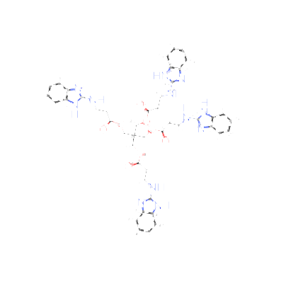 O=C(CCNc1nc2ccccc2[nH]1)OCC(COC(=O)CCNc1nc2ccccc2[nH]1)(COC(=O)CCNc1nc2ccccc2[nH]1)COC(=O)CCNc1nc2ccccc2[nH]1